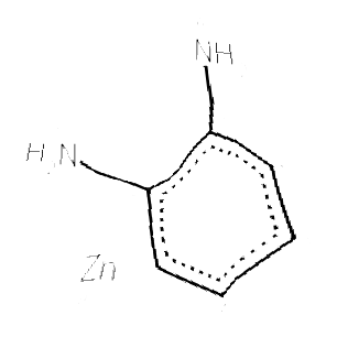 Nc1ccccc1N.[Zn]